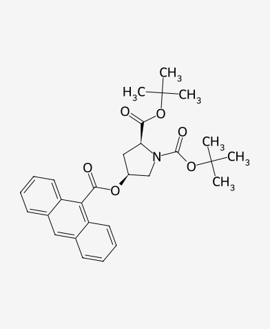 CC(C)(C)OC(=O)[C@@H]1C[C@H](OC(=O)c2c3ccccc3cc3ccccc23)CN1C(=O)OC(C)(C)C